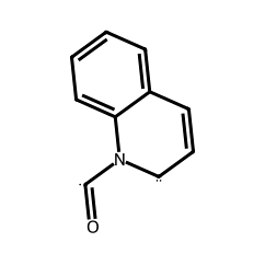 O=[C]N1[C]C=Cc2ccccc21